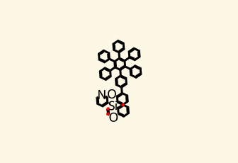 c1ccc(-c2c(-c3ccccc3)c(-c3ccccc3)c(-c3ccc(-c4cccc5c4Oc4ncccc4[Si]54c5ccccc5Oc5ccccc54)cc3)c(-c3ccccc3)c2-c2ccccc2)cc1